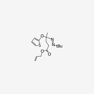 C=CCOC(=O)CCC(C)(N=NC(C)(C)C)Oc1cccs1